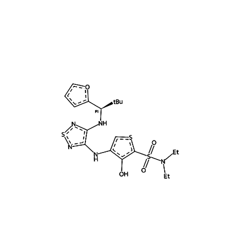 CCN(CC)S(=O)(=O)c1scc(Nc2nsnc2N[C@@H](c2ccco2)C(C)(C)C)c1O